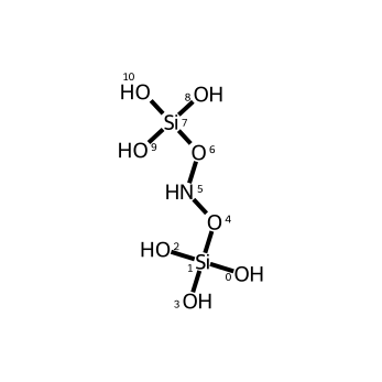 O[Si](O)(O)ONO[Si](O)(O)O